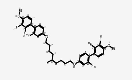 CCOc1ccc(-c2ccc(OCCCCC(C)CCCCOc3ccc(-c4ccc(OCC)c(F)c4F)c(F)c3)cc2F)c(F)c1F